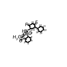 CS(=O)(=O)c1ccccc1S(=O)(=O)Nc1cc(-c2ccccc2)c(F)cc1F